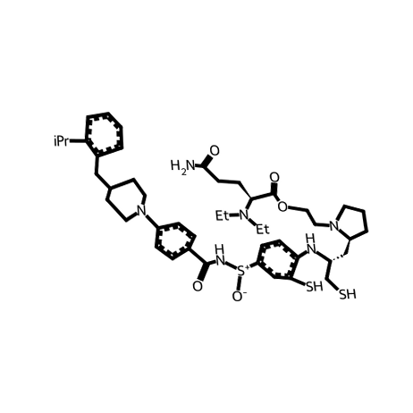 CCN(CC)[C@@H](CCC(N)=O)C(=O)OCCN1CCC[C@H]1C[C@H](CS)Nc1ccc([S+]([O-])NC(=O)c2ccc(N3CCC(Cc4ccccc4C(C)C)CC3)cc2)cc1S